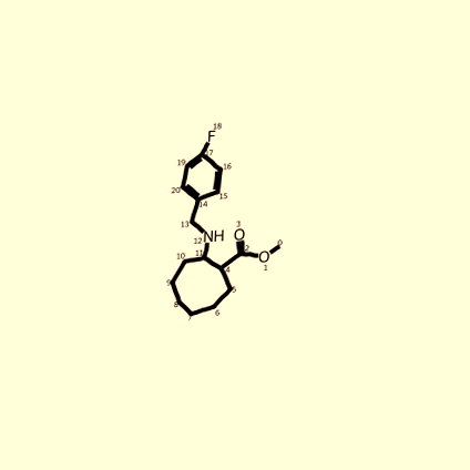 COC(=O)C1CCCCCCC1NCc1ccc(F)cc1